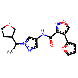 CC(C1CCOC1)n1cc(NC(=O)c2nocc2-c2ccco2)cn1